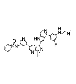 CN(C)CCNc1cc(F)cc(-c2nccc3[nH]c(-c4n[nH]c5ncc(-c6cncc(NC(=O)c7ccccc7)c6)cc45)cc23)c1